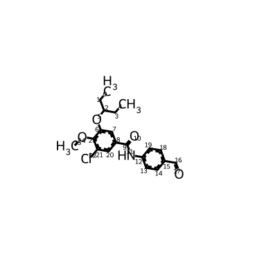 CCC(CC)Oc1cc(C(=O)Nc2ccc(C=O)cc2)cc(Cl)c1OC